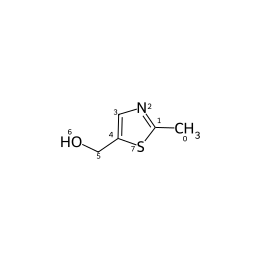 Cc1ncc(CO)s1